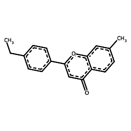 CCc1ccc(-c2cc(=O)c3ccc(C)cc3o2)cc1